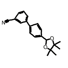 CC1(C)OC(c2ccc(-c3cccc(C#N)c3)cc2)OC1(C)C